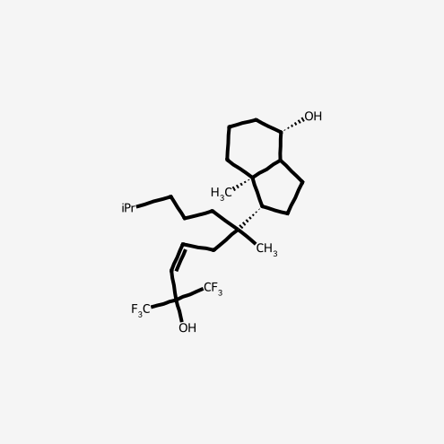 CC(C)CCCC(C)(C/C=C\C(O)(C(F)(F)F)C(F)(F)F)[C@H]1CCC2[C@@H](O)CCC[C@@]21C